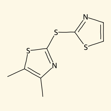 Cc1nc(Sc2nccs2)sc1C